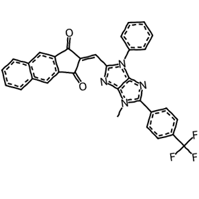 Cn1c(-c2ccc(C(F)(F)F)cc2)nc2c1nc(C=C1C(=O)c3cc4ccccc4cc3C1=O)n2-c1ccccc1